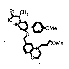 CCC(O)[C@H](C)[C@H]1C[C@H](c2ccc(OC)cc2)[C@@H](OCc2ccc3c(c2)N(CCCOC)CCO3)CN1